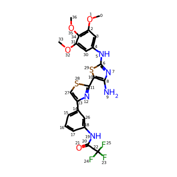 COc1cc(Nc2nc(N)c(-c3nc(-c4cccc(NC(=O)C(F)(F)F)c4)cs3)s2)cc(OC)c1OC